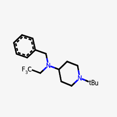 CC(C)(C)N1CCC(N(Cc2ccccc2)CC(F)(F)F)CC1